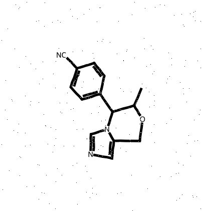 CC1OCc2cncn2C1c1ccc(C#N)cc1